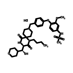 CCCCN1C(=O)[C@@H]([C@H](O)C2CCOCC2)NC(=O)C12CCN(Cc1ccc(Oc3ccc(NS(C)(=O)=O)cc3OC)cc1)CC2.Cl